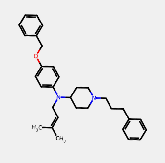 CC(C)=CCN(c1ccc(OCc2ccccc2)cc1)C1CCN(CCCc2ccccc2)CC1